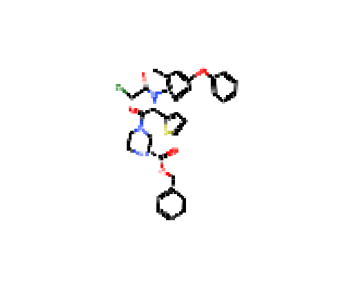 Cc1cc(Oc2ccccc2)ccc1N(C(=O)CCl)[C@H](C(=O)N1CCN[C@@H](C(=O)OCc2ccccc2)C1)c1cccs1